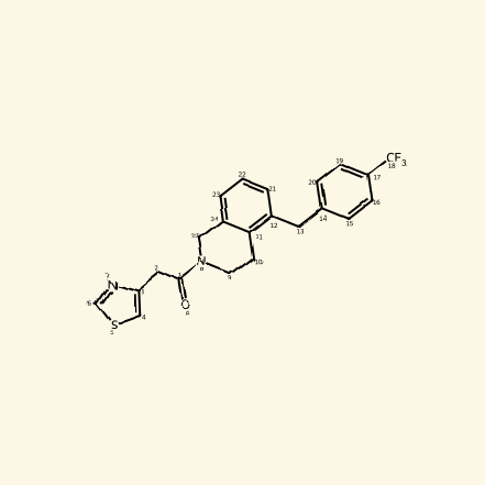 O=C(Cc1cscn1)N1CCc2c(Cc3ccc(C(F)(F)F)cc3)cccc2C1